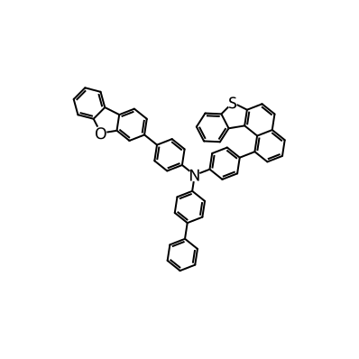 c1ccc(-c2ccc(N(c3ccc(-c4ccc5c(c4)oc4ccccc45)cc3)c3ccc(-c4cccc5ccc6sc7ccccc7c6c45)cc3)cc2)cc1